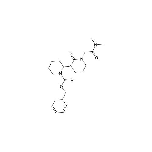 CN(C)C(=O)CN1CCCN(C2CCCCN2C(=O)OCc2ccccc2)C1=O